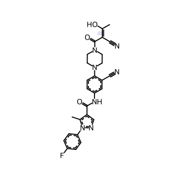 C/C(O)=C(\C#N)C(=O)N1CCN(c2ccc(NC(=O)c3cnn(-c4ccc(F)cc4)c3C)cc2C#N)CC1